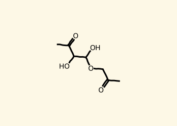 CC(=O)COC(O)C(O)C(C)=O